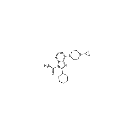 NC(=O)n1c(C2CCCCC2)nc2c(N3CCN(C4CC4)CC3)cccc21